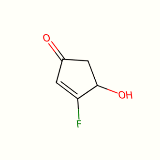 O=C1C=C(F)C(O)C1